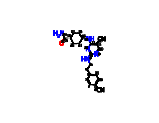 N#Cc1ccc(CCNc2ncc(C#N)c(N[C@H]3CC[C@@H](C(N)=O)CC3)n2)cc1